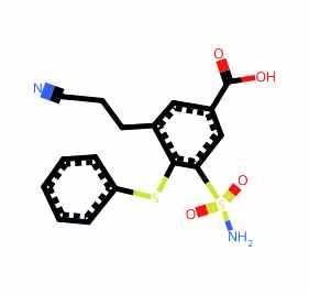 N#CCCc1cc(C(=O)O)cc(S(N)(=O)=O)c1Sc1ccccc1